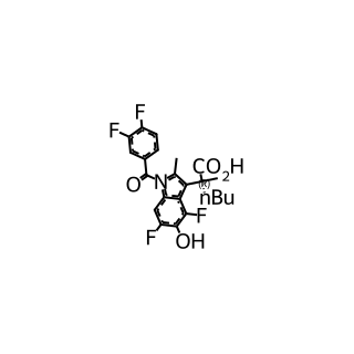 CCCC[C@@](C)(C(=O)O)c1c(C)n(C(=O)c2ccc(F)c(F)c2)c2cc(F)c(O)c(F)c12